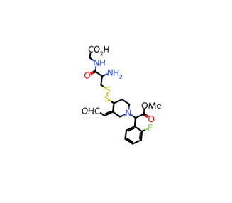 COC(=O)C(c1ccccc1F)N1CCC(SSCC(N)C(=O)NCC(=O)O)/C(=C\C=O)C1